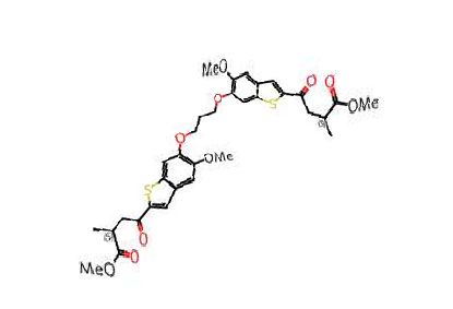 COC(=O)[C@@H](C)CC(=O)c1cc2cc(OC)c(OCCCOc3cc4sc(C(=O)C[C@H](C)C(=O)OC)cc4cc3OC)cc2s1